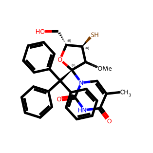 COC1[C@H](S)[C@@H](CO)O[C@]1(n1cc(C)c(=O)[nH]c1=O)C(c1ccccc1)(c1ccccc1)c1ccccc1